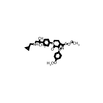 COOSc1nn(-c2ccc(OC)cc2)c2c1CCN(c1ccc(C(C)(C)CNCC3CC3)cc1)C2=O